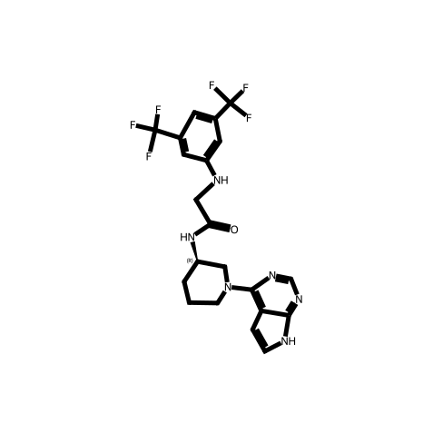 O=C(CNc1cc(C(F)(F)F)cc(C(F)(F)F)c1)N[C@@H]1CCCN(c2ncnc3[nH]ccc23)C1